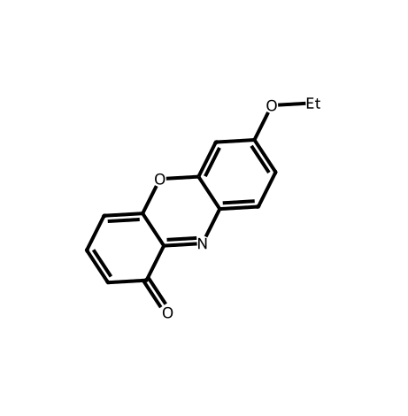 CCOc1ccc2nc3c(=O)cccc-3oc2c1